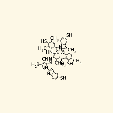 Bc1nn(-c2nc3ccc(S)cc3s2)c(N=Nc2c(C)cc(N(c3nc4ccc(S)cc4s3)c3c(C)cc(C)c(S)c3C)nc2Nc2c(C)cc(C)c(S)c2C)c1C#N